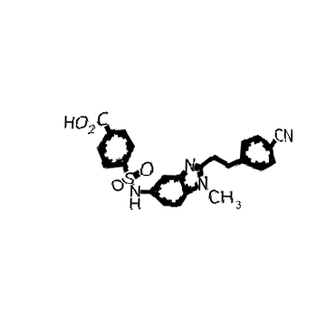 Cn1c(CCc2ccc(C#N)cc2)nc2cc(NS(=O)(=O)c3ccc(C(=O)O)cc3)ccc21